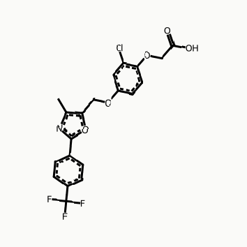 Cc1nc(-c2ccc(C(F)(F)F)cc2)oc1COc1ccc(OCC(=O)O)c(Cl)c1